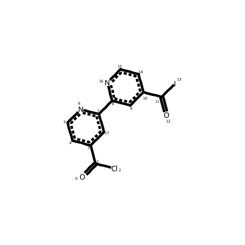 O=C(Cl)c1ccnc(-c2cc(C(=O)I)ccn2)c1